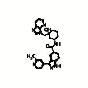 Cc1cc(-c2n[nH]c3ccc(C(=O)N[C@H]4CCC[C@](O)(Cn5cnc6cccnc65)C4)cc23)ccn1